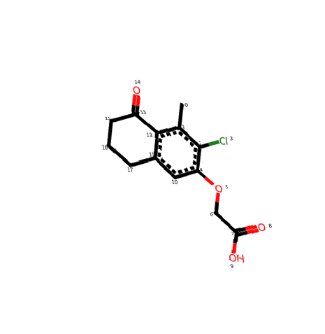 Cc1c(Cl)c(OCC(=O)O)cc2c1C(=O)CCC2